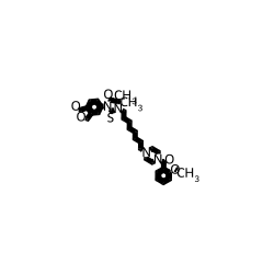 COc1ccccc1C(=O)N1CCN(CCCCCCCCN2C(=S)N(c3ccc4c(c3)COC4=O)C(=O)C2(C)C)CC1